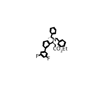 CCOC(=O)C[C@@H](c1cccc(-c2cc(F)cc(F)c2)c1)N(Cc1ccccc1)[C@H](C)c1ccccc1